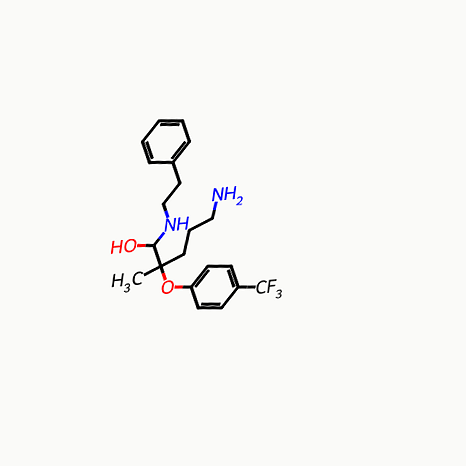 CC(CCCN)(Oc1ccc(C(F)(F)F)cc1)C(O)NCCc1ccccc1